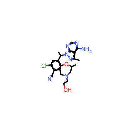 Cc1nn(C(C)c2cc(Cl)c(C#N)c3c2OC(C)CN(CCO)C3)c2ncnc(N)c12